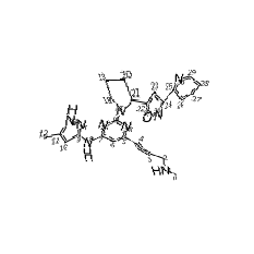 CNCC#Cc1cc(Nc2cc(C)[nH]n2)nc(N2CCCC2c2cc(-c3ccccn3)no2)n1